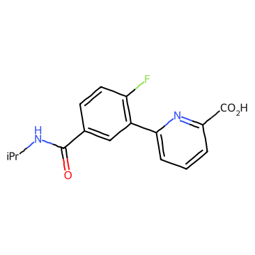 CC(C)NC(=O)c1ccc(F)c(-c2cccc(C(=O)O)n2)c1